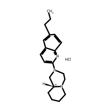 CCCc1ccc2nc(N3CCN4CCCC[C@@H]4C3)ccc2c1.Cl